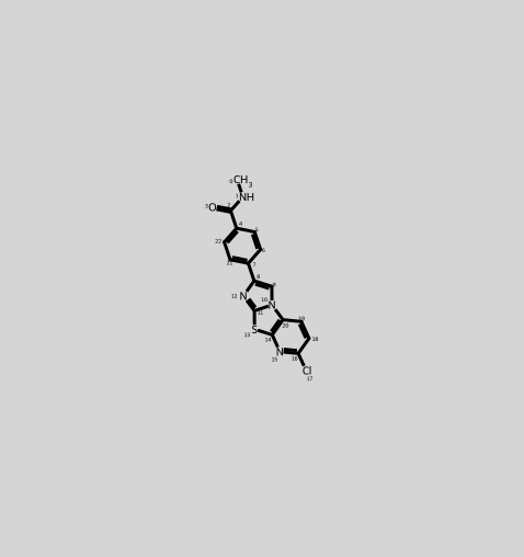 CNC(=O)c1ccc(-c2cn3c(n2)sc2nc(Cl)ccc23)cc1